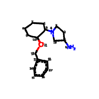 NC1CCN(C2CCCCC2OCc2ccccc2)C1